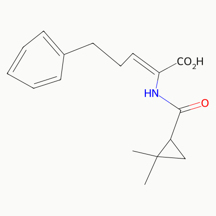 CC1(C)CC1C(=O)NC(=CCCc1ccccc1)C(=O)O